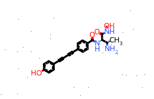 C[C@@H](N)[C@H](NC(=O)c1ccc(C#CC#Cc2ccc(O)cc2)cc1)C(=O)NO